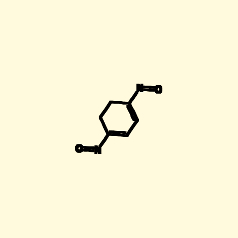 O=NC1=CC=C(N=O)CC1